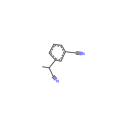 CC(C#N)c1cccc(C#N)c1